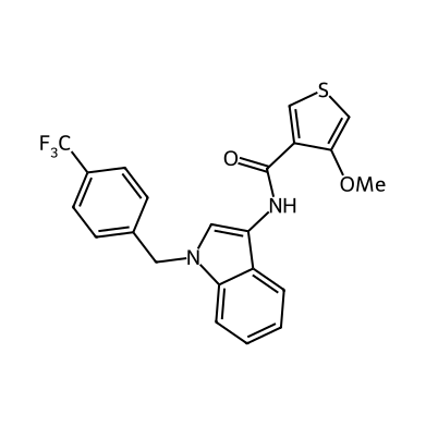 COc1cscc1C(=O)Nc1cn(Cc2ccc(C(F)(F)F)cc2)c2ccccc12